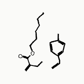 C=C(CC)C(=O)OCCCCCC.C=Cc1ccc(C)cc1